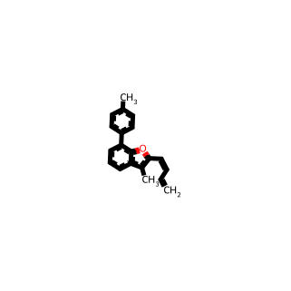 C=C/C=C\c1oc2c(-c3ccc(C)cc3)cccc2c1C